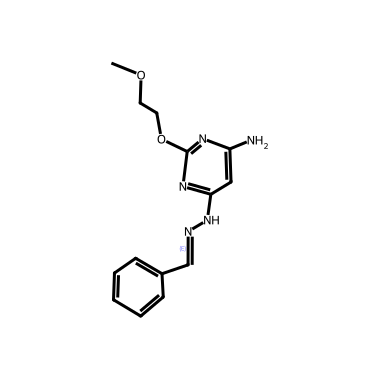 COCCOc1nc(N)cc(N/N=C/c2ccccc2)n1